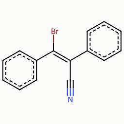 N#CC(=C(Br)c1ccccc1)c1ccccc1